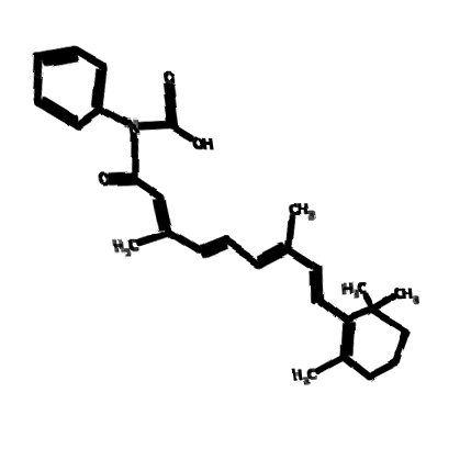 CC(C=CC1=C(C)CCCC1(C)C)=CC=CC(C)=CC(=O)N(C(=O)O)c1ccccc1